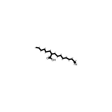 CCCCCCC(CCCCCCCC#N)C(=O)O